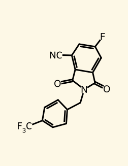 N#Cc1cc(F)cc2c1C(=O)N(Cc1ccc(C(F)(F)F)cc1)C2=O